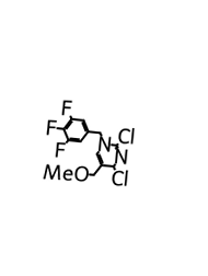 COCC1=CN(Cc2cc(F)c(F)c(F)c2)C(Cl)=NC1Cl